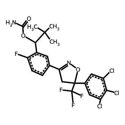 CC(C)(C)C(OC(N)=O)c1cc(C2=NOC(c3cc(Cl)c(Cl)c(Cl)c3)(C(F)(F)F)C2)ccc1F